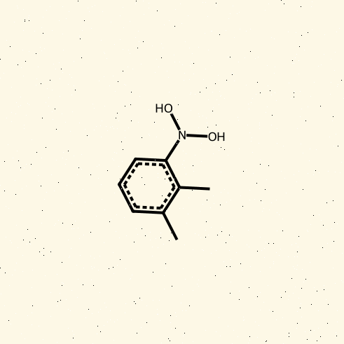 Cc1cccc(N(O)O)c1C